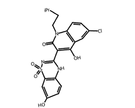 CC(C)CCn1c(=O)c(C2=NS(=O)(=O)c3cc(O)ccc3N2)c(O)c2cc(Cl)ccc21